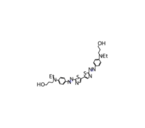 CCN(CCCO)c1ccc(/N=N/c2ncc(-c3cnc(/N=N/c4ccc(N(CC)CCCO)cc4)s3)s2)cc1